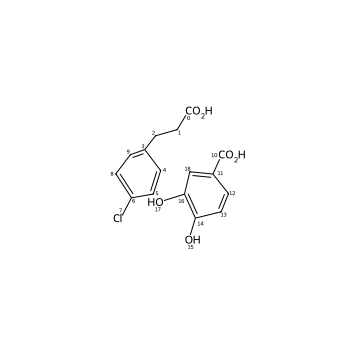 O=C(O)CCc1ccc(Cl)cc1.O=C(O)c1ccc(O)c(O)c1